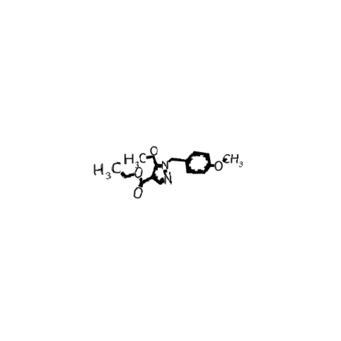 CCOC(=O)c1cnn(Cc2ccc(OC)cc2)c1C(C)=O